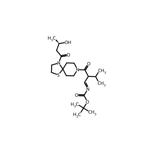 CC(C)C(/C=N/C(=O)OC(C)(C)C)C(=O)N1CCC2(CC1)SCCN2C(=O)C[C@@H](C)O